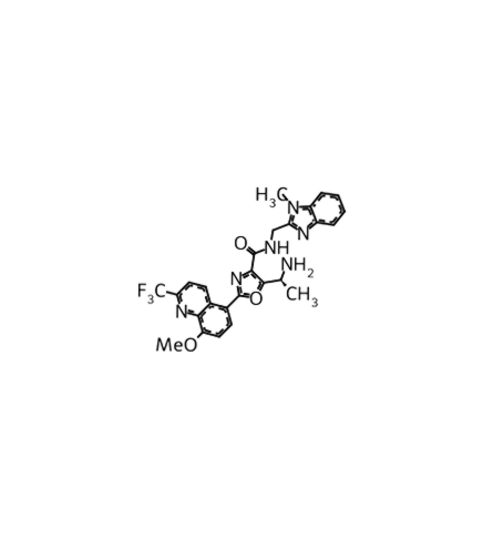 COc1ccc(-c2nc(C(=O)NCc3nc4ccccc4n3C)c([C@H](C)N)o2)c2ccc(C(F)(F)F)nc12